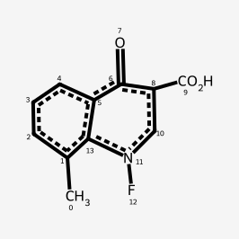 Cc1cccc2c(=O)c(C(=O)O)cn(F)c12